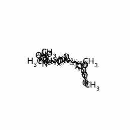 COCCOCOc1ccc(C=CC=CC(=O)N2CCN(CCn3cnc4c3c(=O)n(C)c(=O)n4C)CC2)cc1OC